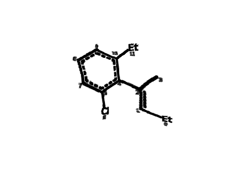 CC/C=C(\C)c1c(Cl)cccc1CC